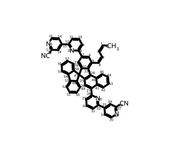 C/C=C\C=C/c1cc(-c2cccc(-c3ccnc(C#N)c3)n2)cc2c1-c1c(cc(-c3cccc(-c4ccnc(C#N)c4)n3)c3ccccc13)C21c2ccccc2-c2ccccc21